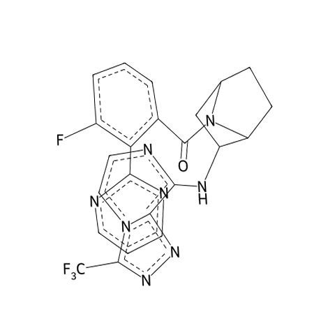 O=C(c1cccc(F)c1-c1ncccn1)N1C2CCC1C(Nc1nccn3c(C(F)(F)F)nnc13)C2